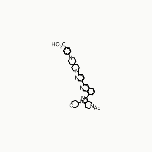 CC(=O)N1CCc2c(c(-c3cccc4cc(-c5ccc(N6CCC7(CCN(c8ccc(C(=O)O)cc8)CC7)CC6)nc5)ncc34)nn2C2CCOCC2)C1